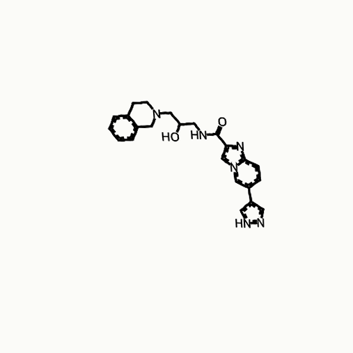 O=C(NCC(O)CN1CCc2ccccc2C1)c1cn2cc(-c3cn[nH]c3)ccc2n1